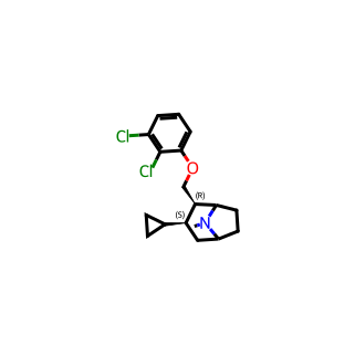 CN1C2CCC1[C@H](COc1cccc(Cl)c1Cl)[C@H](C1CC1)C2